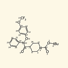 CC(C)(C)OC(=O)N1CCC(C(=O)N(Oc2ccc(OC(F)(F)F)cc2)c2ccccc2)CC1